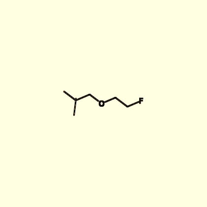 C[C](C)COCCF